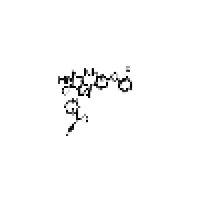 CC#CC(=O)N1CCC[C@H](c2nn(-c3ccc(Oc4ccccc4F)cc3)c3c(N)n[nH]c(=O)c23)C1